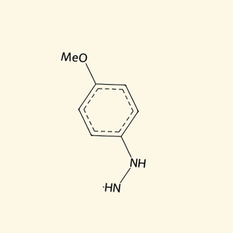 COc1ccc(N[NH])cc1